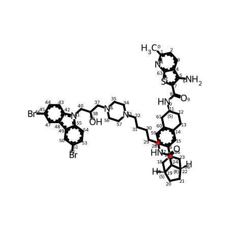 Cc1ccc2c(N)c(C(=O)N[C@H]3CCc4cc(N5C[C@H]6CC[C@@H](C5)C6C(=O)NCCCCCN5CCN(CC(O)Cn6c7ccc(Br)cc7c7cc(Br)ccc76)CC5)ccc4C3)sc2n1